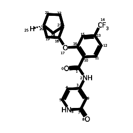 O=C(Nc1cc[nH]c(=O)c1)c1ccc(C(F)(F)F)cc1OC1C[C@H]2CCC1C2